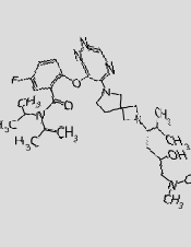 CC(C)[C@H](CC(O)CN(C)C)N1CC2(CCN(c3ncnnc3Oc3ccc(F)cc3C(=O)N(C(C)C)C(C)C)C2)C1